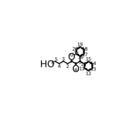 O=C(CCCCO)C(=O)C(c1ccccc1)c1ccccc1